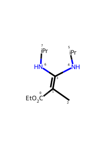 CCOC(=O)C(C)=C(NC(C)C)NC(C)C